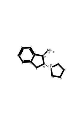 N[C@@H]1c2ccccc2C[C@H]1N1CCCC1